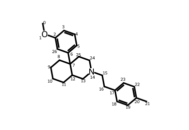 COc1cccc(C23CCCCC2CN(CCc2ccc(C)cc2)CC3)c1